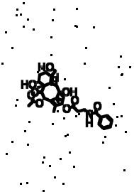 CC(=O)O[C@H]1C(=O)[C@@]2(C)[C@H](C[C@]3(O)C[C@H](OC(=O)CCNC(=O)c4ccccc4)C(C)=C1C3(C)C)[C@@H]1CO[C@@H]1C[C@@H]2O